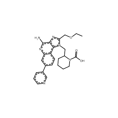 CCOCc1nc2c(N)nc3cc(-c4cccnc4)ccc3c2n1CC1CCCCN1C(=O)O